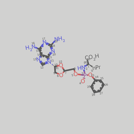 CCC[C@@H](NP(=O)(OCC1OC[C@H](n2cnc3c(N)nc(N)nc32)O1)Oc1ccccc1)C(=O)O